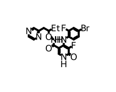 CCC(Cc1cnccn1)ONC(=O)c1c[nH]c(=O)c(F)c1Nc1ccc(Br)cc1F